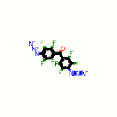 [N-]=[N+]=Nc1c(F)c(F)c(C(=O)c2c(F)c(F)c(N=[N+]=[N-])c(F)c2F)c(F)c1F